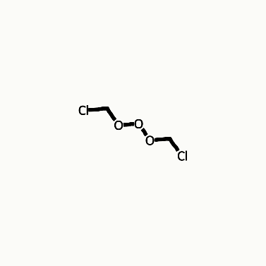 ClCOOOCCl